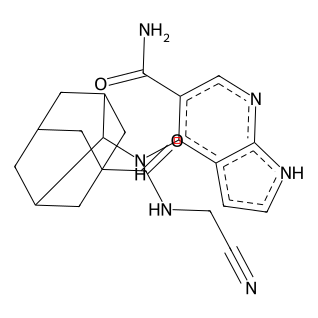 N#CCNC(=O)C12CC3CC(C1)C(Nc1c(C(N)=O)cnc4[nH]ccc14)C(C3)C2